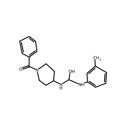 Cc1cccc(NC(O)NC2CCN(C(=O)c3ccccc3)CC2)c1